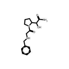 NC(=O)C(O)C1CCCN1C(=O)CNCc1ccccc1